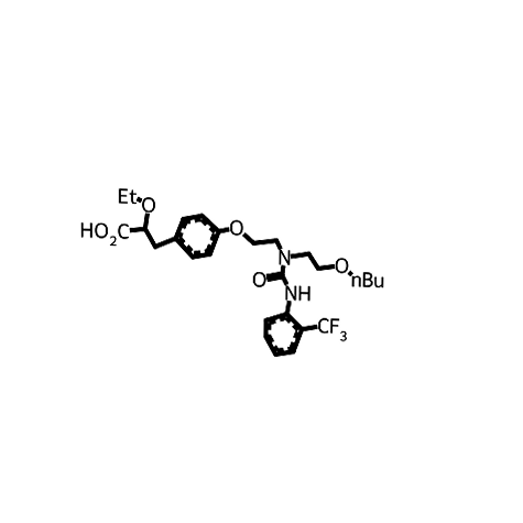 CCCCOCCN(CCOc1ccc(CC(OCC)C(=O)O)cc1)C(=O)Nc1ccccc1C(F)(F)F